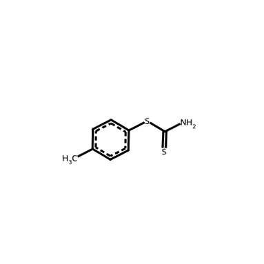 Cc1ccc(SC(N)=S)cc1